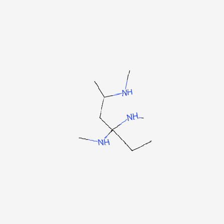 CCC(CC(C)NC)(NC)NC